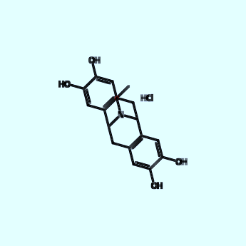 CCN1C2Cc3cc(O)c(O)cc3C1Cc1cc(O)c(O)cc12.Cl